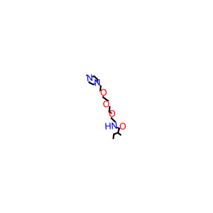 CCC(C)C(=O)NCCOCCOCCOCCN1CCN(C)CC1